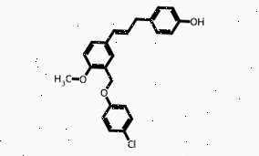 COc1ccc(/C=C/Cc2ccc(O)cc2)cc1COc1ccc(Cl)cc1